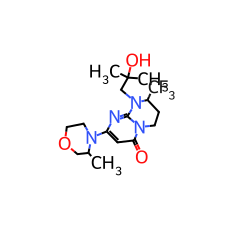 CC1COCCN1c1cc(=O)n2c(n1)N(CC(C)(C)O)C(C(F)(F)F)CC2